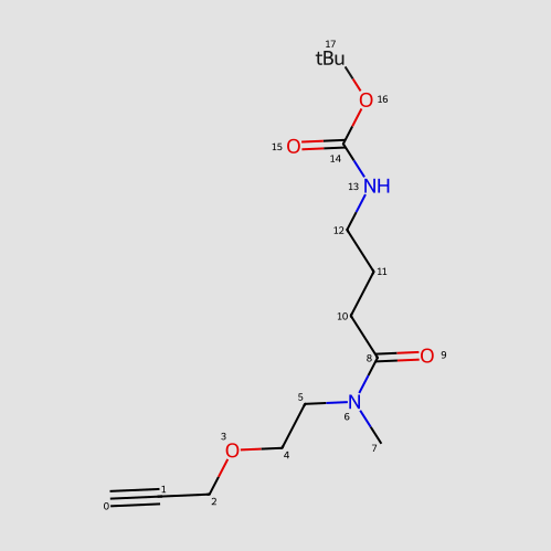 C#CCOCCN(C)C(=O)CCCNC(=O)OC(C)(C)C